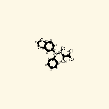 CC[N+](=C(C#N)C(=O)Cl)N(c1ccccc1)c1ccc2c(c1)OCO2